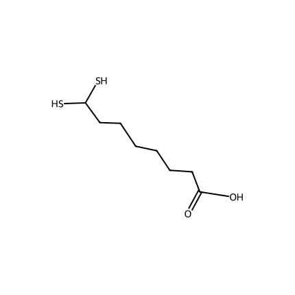 O=C(O)CCCCCCC(S)S